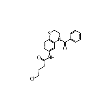 O=C(CCCCl)Nc1ccc2c(c1)N(C(=O)c1ccccc1)CCS2